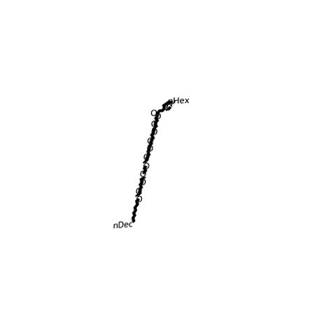 CCCCCCCCCCCCCCCCCCOCCOCCOCCOCCOCCOCCOCCOCCOCCOCCOC(=O)CCN1CC[N+](C)(CCCCCC)CC1